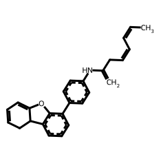 C=C(C/C=C\C=C/C)Nc1ccc(-c2cccc3c2OC2=CC=CCC23)cc1